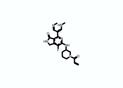 C=CC(=O)N1CCCC(Nc2nc(C(/C=N\C)=C/NC)c3c(c2F)CNC3=O)C1